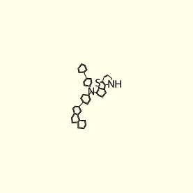 C1=Cc2sc3c(N(c4ccc(-c5ccccc5)cc4)c4ccc(-c5ccc6ccc7ccccc7c6c5)cc4)cccc3c2NC1